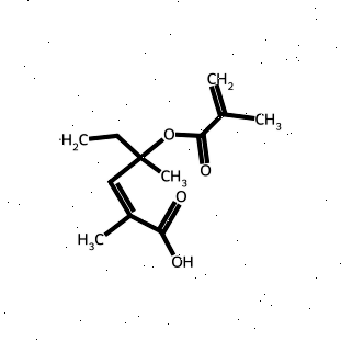 [CH2]CC(C)(C=C(C)C(=O)O)OC(=O)C(=C)C